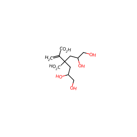 C=C(C(=O)O)C(CC(O)CO)(CC(O)CO)C(=O)O